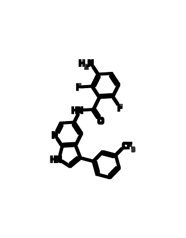 Nc1ccc(F)c(C(=O)Nc2cnc3[nH]cc(-c4cccc(C(F)(F)F)c4)c3c2)c1F